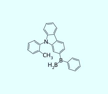 BB(c1ccccc1)c1ccc2c3ccccc3n(-c3ccccc3C)c2c1